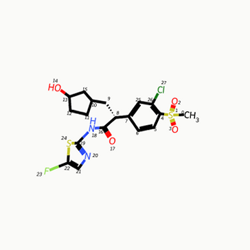 CS(=O)(=O)c1ccc([C@@H](CC2CCC(O)C2)C(=O)Nc2ncc(F)s2)cc1Cl